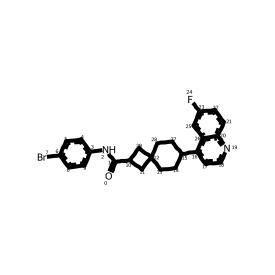 O=C(Nc1ccc(Br)cc1)C1CC2(CCC(c3ccnc4ccc(F)cc34)CC2)C1